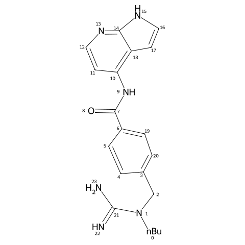 CCCCN(Cc1ccc(C(=O)Nc2ccnc3[nH]ccc23)cc1)C(=N)N